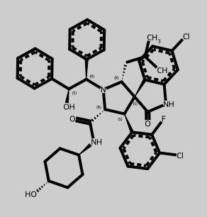 CC(C)C[C@H]1N([C@H](c2ccccc2)[C@@H](O)c2ccccc2)[C@@H](C(=O)N[C@H]2CC[C@H](O)CC2)[C@H](c2cccc(Cl)c2F)[C@@]12C(=O)Nc1cc(Cl)ccc12